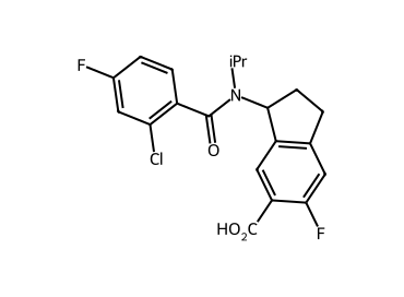 CC(C)N(C(=O)c1ccc(F)cc1Cl)C1CCc2cc(F)c(C(=O)O)cc21